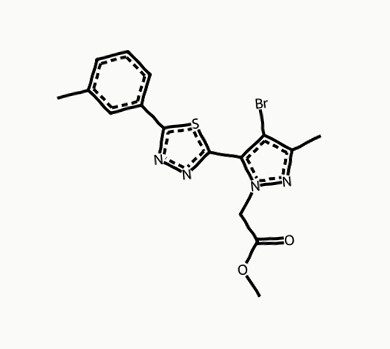 COC(=O)Cn1nc(C)c(Br)c1-c1nnc(-c2cccc(C)c2)s1